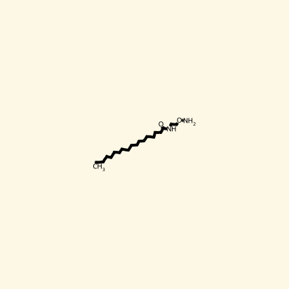 CCCCCCCCCCCCCCCCCC(=O)NCCON